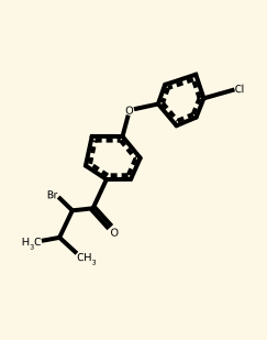 CC(C)C(Br)C(=O)c1ccc(Oc2ccc(Cl)cc2)cc1